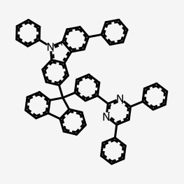 c1ccc(-c2ccc3c(c2)c2cc(C4(c5cccc(-c6nc(-c7ccccc7)cc(-c7ccccc7)n6)c5)c5ccccc5-c5ccccc54)ccc2n3-c2ccccc2)cc1